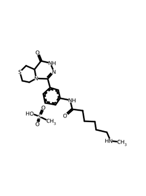 CNCCCCCC(=O)Nc1cccc(C2=NNC(=O)C3CSCCN23)c1.CS(=O)(=O)O